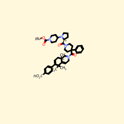 CC(C)(C)OC(=O)N1CCC(N2CCC[C@H]2C(=O)N2CCC(C(=O)N3CC=C4C(C)(C)C(c5ccc(C(=O)O)cc5)=CC[C@]4(C)C3)(c3ccccc3)CC2)CC1